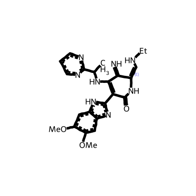 CCN/C=C1/NC(=O)C(c2nc3cc(OC)c(OC)cc3[nH]2)=C(NC(C)c2ncccn2)C1=N